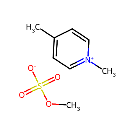 COS(=O)(=O)[O-].Cc1cc[n+](C)cc1